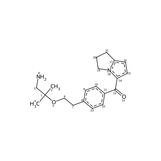 CC(C)(CN)OCCc1ccc(C(=O)c2ccc3n2CCC3)cc1